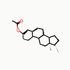 CC(=O)OC1=CC2=CCC3C(CC[C@@]4(C)C3CC[C@@H]4C)C2CC1